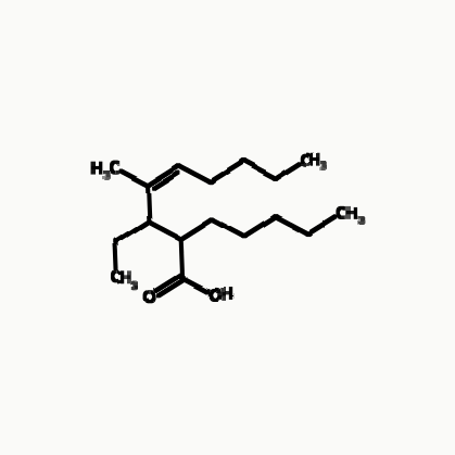 CCCCC=C(C)C(CC)C(CCCCC)C(=O)O